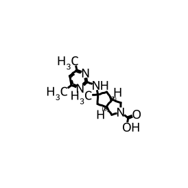 Cc1cc(C)nc(NC2(C)C[C@H]3CN(C(=O)O)C[C@H]3C2)n1